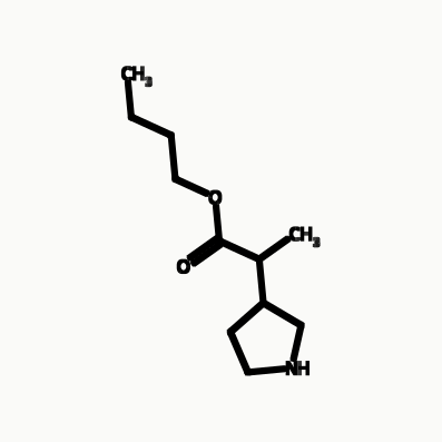 CCCCOC(=O)C(C)C1CCNC1